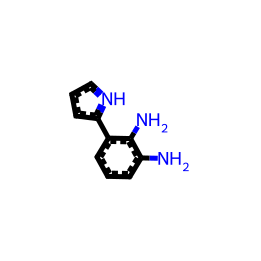 Nc1cccc(-c2ccc[nH]2)c1N